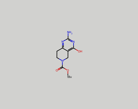 CC(C)(C)OC(=O)N1CCc2nc(N)nc(O)c2C1